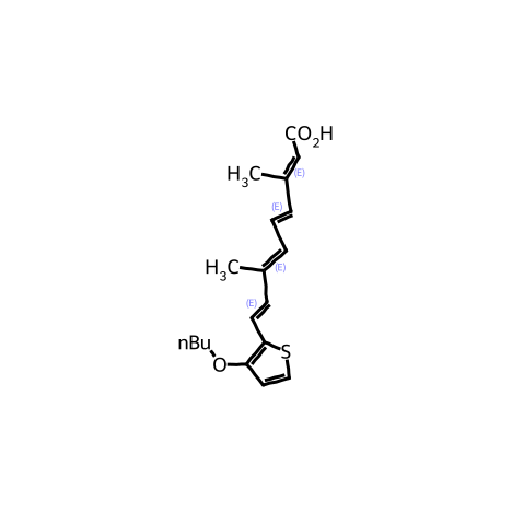 CCCCOc1ccsc1/C=C/C(C)=C/C=C/C(C)=C/C(=O)O